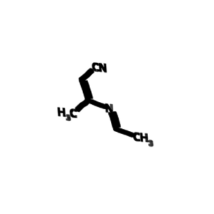 C/C=N/C(C)=C\C#N